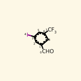 O=Cc1cc(I)cc(C(F)(F)F)c1